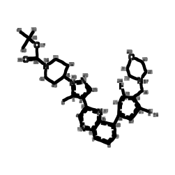 Cc1c(-c2cnc3cccc(-c4cc(F)c(CN5CCOCC5)c(F)c4)c3n2)cnn1C1CCN(C(=O)OC(C)(C)C)CC1